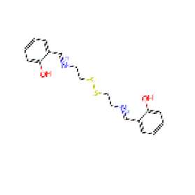 Oc1ccccc1/C=N/CCSSCC/N=C/c1ccccc1O